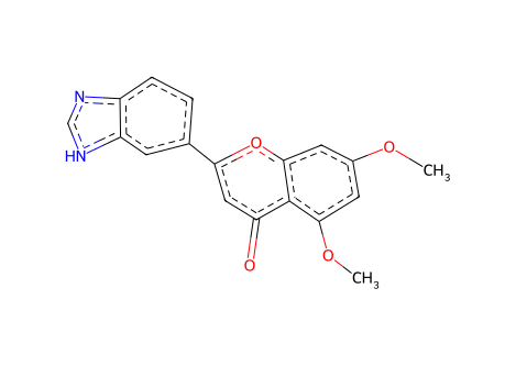 COc1cc(OC)c2c(=O)cc(-c3ccc4nc[nH]c4c3)oc2c1